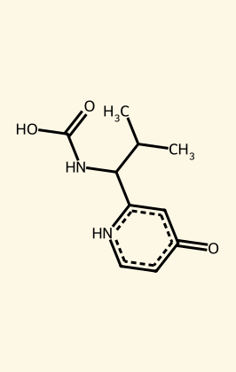 CC(C)C(NC(=O)O)c1cc(=O)cc[nH]1